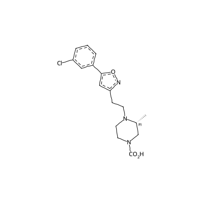 C[C@@H]1CN(C(=O)O)CCN1CCc1cc(-c2cccc(Cl)c2)on1